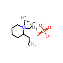 CCC1CCCC[N+]1(C)CC.O=S(=O)([O-])[O-].[H+]